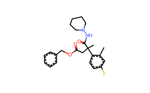 Cc1cc(F)ccc1C(C)(CC(=O)OCc1ccccc1)C(=O)NN1CCCCC1